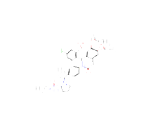 CNC(=O)[C@H]1CCCN1[C@@H](C)c1ccc(N2C(=O)Cc3cc(OC)c(OC(C)C)cc3[C@@H]2c2ccc(Cl)cc2CO)cc1